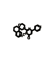 Cn1c(N2CCOC3(CCCc4ccccc43)C2)nc(-c2ccncc2)cc1=O